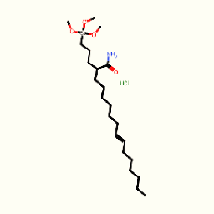 CCCCCCC=CCCCCCCC(CCC[Si](OC)(OC)OC)C(N)=O.Cl